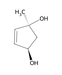 C[C@@]1(O)C=C[C@H](O)C1